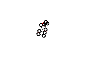 c1ccc(-c2cccc3cccc(-c4ccccc4N(c4ccccc4-c4cccc5ccccc45)c4cccc5c4oc4ccccc45)c23)cc1